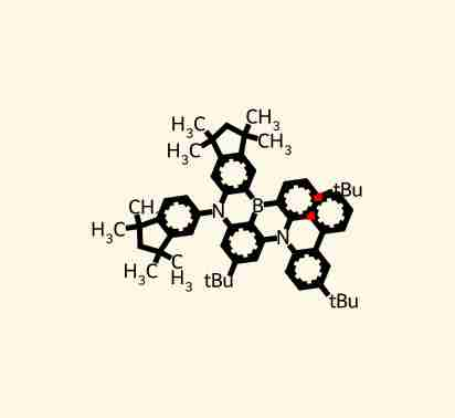 CC(C)(C)c1ccc(N2c3cc(C(C)(C)C)ccc3B3c4cc5c(cc4N(c4ccc6c(c4)C(C)(C)CC6(C)C)c4cc(C(C)(C)C)cc2c43)C(C)(C)CC5(C)C)c(-c2ccccc2)c1